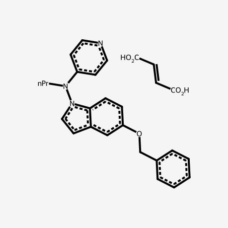 CCCN(c1ccncc1)n1ccc2cc(OCc3ccccc3)ccc21.O=C(O)C=CC(=O)O